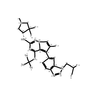 [2H]C([2H])([2H])Oc1nc(N[C@@H]2CN(C)CC2(F)F)nn2cc(F)c(-c3ccc4nnn(CC(F)F)c4c3)c12